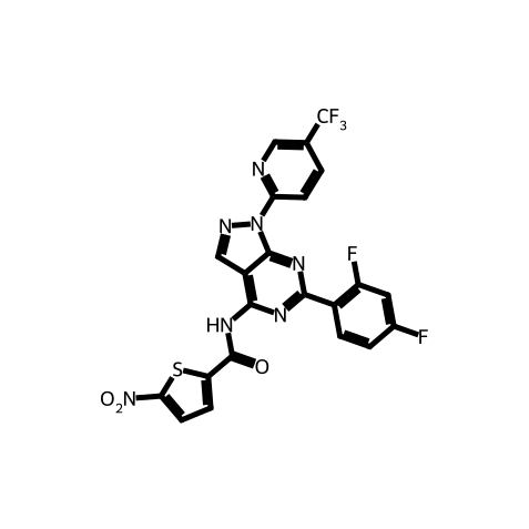 O=C(Nc1nc(-c2ccc(F)cc2F)nc2c1cnn2-c1ccc(C(F)(F)F)cn1)c1ccc([N+](=O)[O-])s1